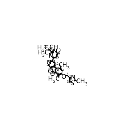 Cc1nc(COc2cc(C)n(-c3cc(-c4ccnc(C(C)(C)C)n4)ncc3C)c(=O)c2C)cs1